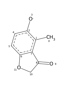 Cc1c([O])ccc2c1C(=O)CO2